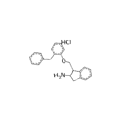 Cl.NC1Cc2ccccc2C1COc1ccccc1Cc1ccccc1